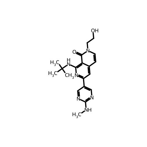 CNc1ncc(-c2cc3ccn(CCO)c(=O)c3c(NC(C)(C)C)n2)cn1